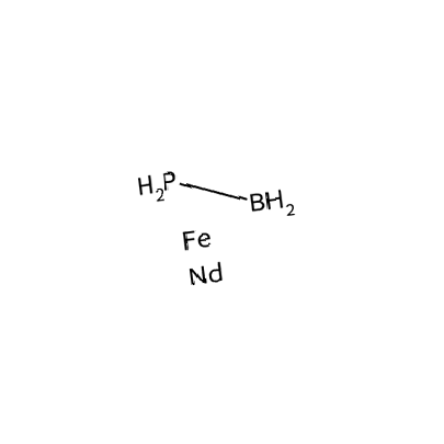 BP.[Fe].[Nd]